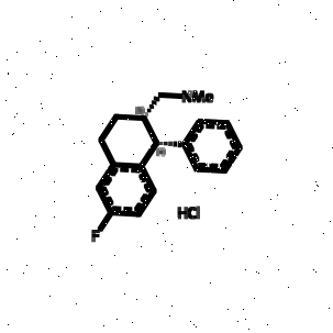 CNC[C@H]1CCc2cc(F)ccc2[C@H]1c1ccccc1.Cl